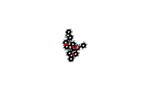 c1ccc(-c2cc(-c3ccccc3)nc(-c3ccc(-n4c5ccccc5c5c6sc7ccccc7c6ccc54)c(-c4ccccc4-n4c5ccccc5c5c6sc7ccccc7c6ccc54)c3)n2)cc1